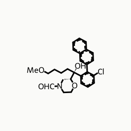 COCCCC[C@@](O)(c1cccc(Cl)c1-c1ccc2ccccc2c1)[C@H]1CN(C=O)CCO1